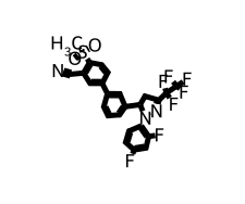 CS(=O)(=O)c1ccc(-c2cccc(C3CC(C(F)(F)C(F)(F)F)=NN3c3ccc(F)cc3F)c2)cc1C#N